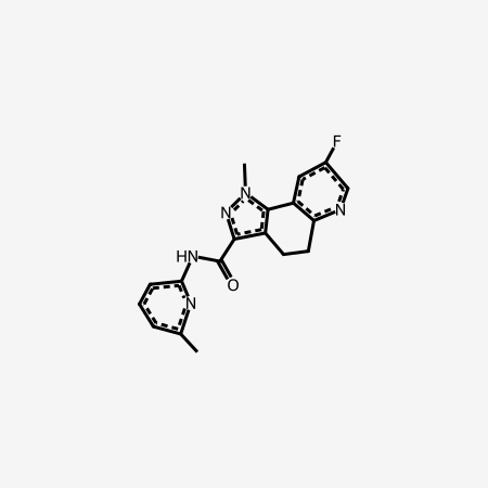 Cc1cccc(NC(=O)c2nn(C)c3c2CCc2ncc(F)cc2-3)n1